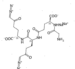 [N-]=[N+]=CC(=O)CC[C@H](NC(=O)[C@H](CCC(=O)C=[N+]=[N-])NC(=O)CC[C@H](NC(=O)CN)C(=O)[O-])C(=O)[O-].[Na+].[Na+]